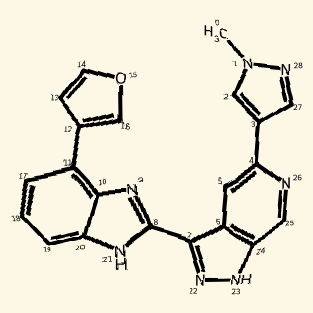 Cn1cc(-c2cc3c(-c4nc5c(-c6ccoc6)cccc5[nH]4)n[nH]c3cn2)cn1